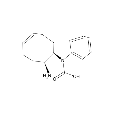 N[C@H]1CCC=CCC[C@H]1N(C(=O)O)c1ccccc1